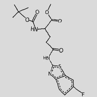 COC(=O)C(CCC(=O)Nc1nc2ccc(F)cc2s1)NC(=O)OC(C)(C)C